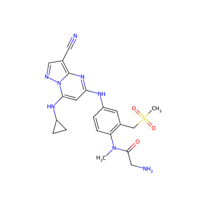 CN(C(=O)CN)c1ccc(Nc2cc(NC3CC3)n3ncc(C#N)c3n2)cc1CS(C)(=O)=O